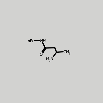 CCCNC(=O)CC(C)N